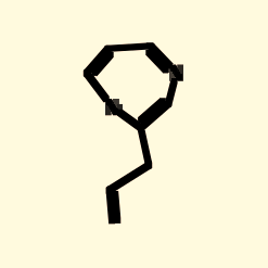 C=CCC1=CN=CC=C[N]1